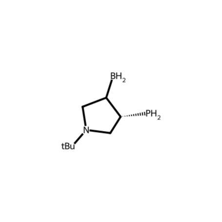 BC1CN(C(C)(C)C)C[C@H]1P